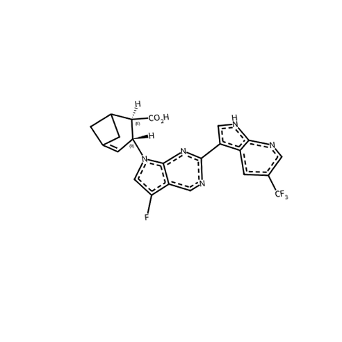 O=C(O)[C@@H]1C2CC(=C[C@H]1n1cc(F)c3cnc(-c4c[nH]c5ncc(C(F)(F)F)cc45)nc31)C2